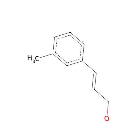 Cc1cccc(C=CC[O])c1